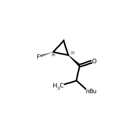 CCCCC(C)C(=O)[C@@H]1C[C@H]1F